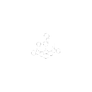 c1ccc(-n2c3ccccc3c3cc4ccc5cc6c7ccccc7[nH]c6c6c5c4c(c32)n6-c2ccc3c(c2)sc2ccccc23)cc1